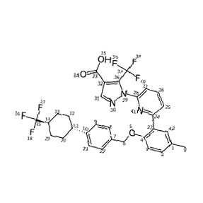 Cc1ccc(OCc2ccc([C@H]3CC[C@H](C(F)(F)F)CC3)cc2)c(-c2cccc(-n3ncc(C(=O)O)c3C(F)(F)F)n2)c1